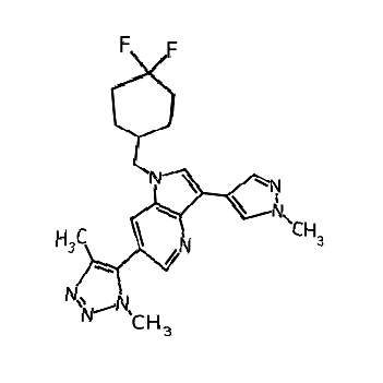 Cc1nnn(C)c1-c1cnc2c(-c3cnn(C)c3)cn(CC3CCC(F)(F)CC3)c2c1